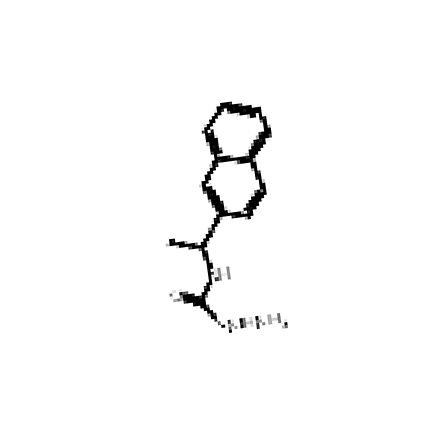 CC(NC(=O)N(C)O)c1ccc2ccccc2c1